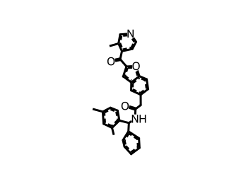 Cc1ccc(C(NC(=O)Cc2ccc3oc(C(=O)c4ccncc4C)cc3c2)c2ccccc2)c(C)c1